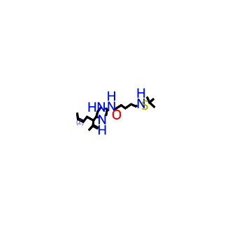 C=C(C)C(C/C=C\C)C1CNC(NC(=O)CCCCNSC(C)(C)C)CN1